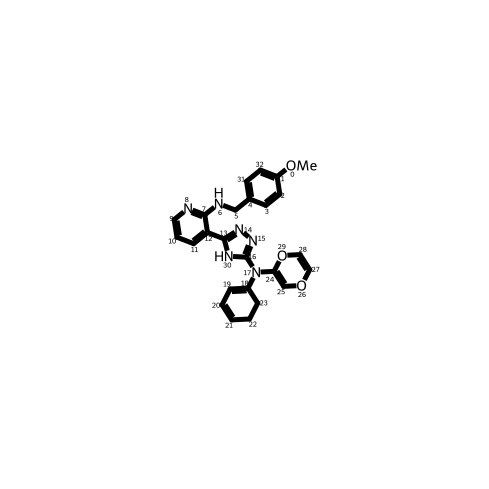 COc1ccc(CNc2ncccc2-c2nnc(N(C3=CC=CCC3)C3=COC=CO3)[nH]2)cc1